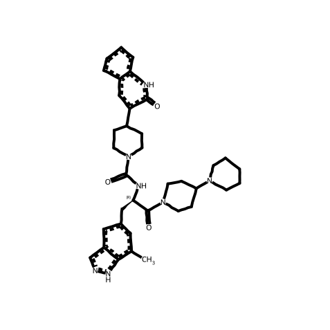 Cc1cc(C[C@@H](NC(=O)N2CCC(c3cc4ccccc4[nH]c3=O)CC2)C(=O)N2CCC(N3CCCCC3)CC2)cc2cn[nH]c12